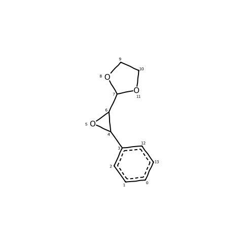 c1ccc(C2OC2C2OCCO2)cc1